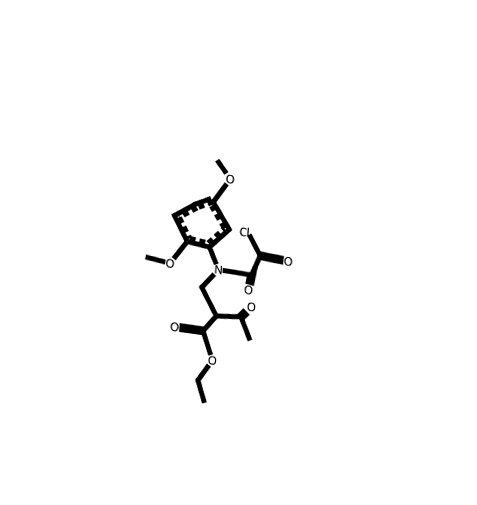 CCOC(=O)C(CN(C(=O)C(=O)Cl)c1cc(OC)ccc1OC)C(C)=O